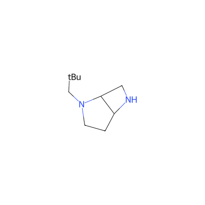 CC(C)(C)CN1CCC2NCC21